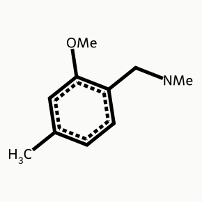 CNCc1ccc(C)cc1OC